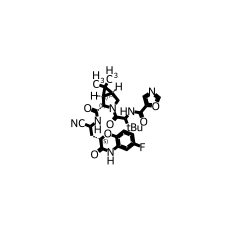 CC(C)(C)C(NC(=O)c1cnco1)C(=O)N1C[C@H]2[C@@H]([C@H]1C(=O)NC(C#N)C[C@@H]1Oc3ccc(F)cc3NC1=O)C2(C)C